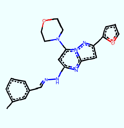 Cc1cccc(C=NNc2cc(N3CCOCC3)n3nc(-c4ccco4)cc3n2)c1